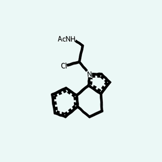 CC(=O)NCC(Cl)n1ccc2c1-c1ccccc1CC2